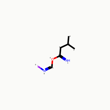 CC(C)CC(=N)O/C=N\I